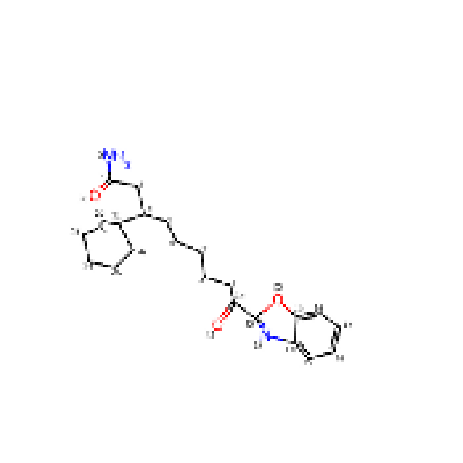 NC(=O)CC(CCCCCC(=O)c1nc2ccccc2o1)C1CCCCC1